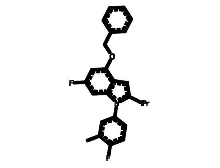 Cc1cc(-n2c(C(C)C)cc3c(OCc4ccccc4)cc(F)cc32)ccc1F